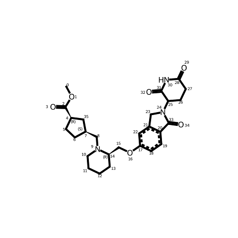 COC(=O)[C@@H]1CC[C@H](CN2CCCC[C@@H]2COc2ccc3c(c2)CN(C2CCC(=O)NC2=O)C3=O)C1